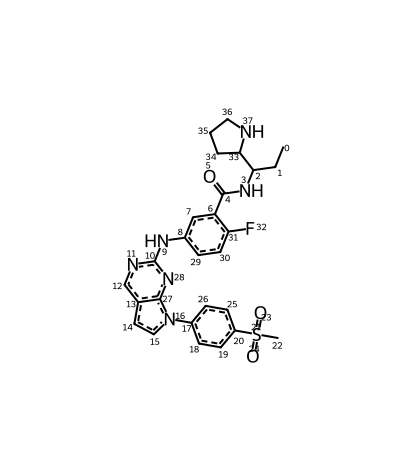 CCC(NC(=O)c1cc(Nc2ncc3ccn(-c4ccc(S(C)(=O)=O)cc4)c3n2)ccc1F)C1CCCN1